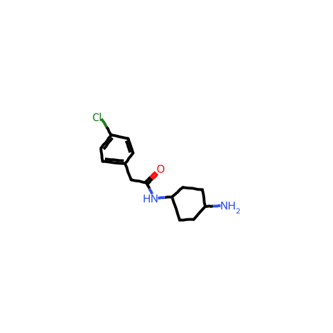 NC1CCC(NC(=O)Cc2ccc(Cl)cc2)CC1